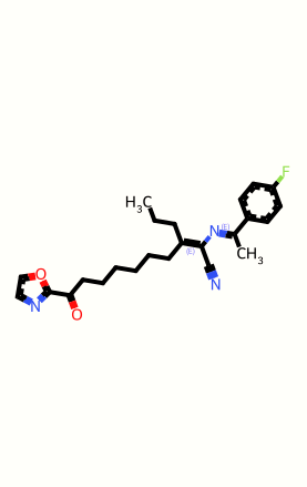 CCC/C(CCCCCCC(=O)c1ncco1)=C(C#N)\N=C(/C)c1ccc(F)cc1